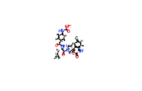 O=C(O)Nc1ccc(C(=O)N[C@@H](CC2CC2)C(=O)N2CC[C@@]3(C2)OC(=O)Nc2ccc(Cl)cc23)cc1